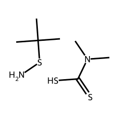 CC(C)(C)SN.CN(C)C(=S)S